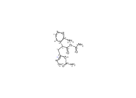 NC(=O)OC(=O)C(C/C(=N/O)OC(N)=O)c1ccccc1N